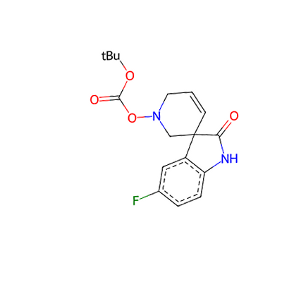 CC(C)(C)OC(=O)ON1CC=CC2(C1)C(=O)Nc1ccc(F)cc12